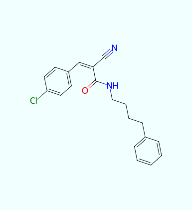 N#CC(=Cc1ccc(Cl)cc1)C(=O)NCCCCc1ccccc1